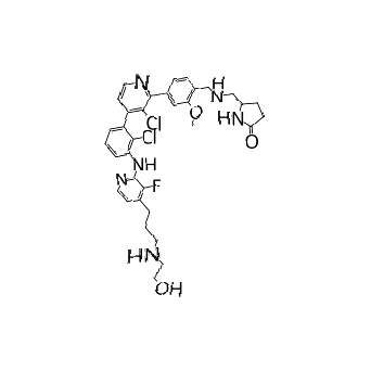 COc1cc(-c2nccc(-c3cccc(Nc4nccc(CCCNCCO)c4F)c3Cl)c2Cl)ccc1CNCC1CCC(=O)N1